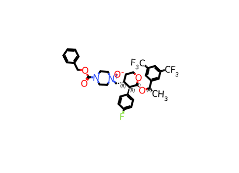 C[C@@H](O[C@H]1OCC[C@@H](C[N+]2([O-])CCN(C(=O)OCc3ccccc3)CC2)[C@@H]1c1ccc(F)cc1)c1cc(C(F)(F)F)cc(C(F)(F)F)c1